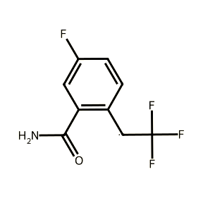 NC(=O)c1cc(F)ccc1[CH]C(F)(F)F